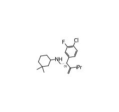 C=C(C(C)C)[C@H](CNC1CCCC(C)(C)C1)c1ccc(Cl)c(F)c1